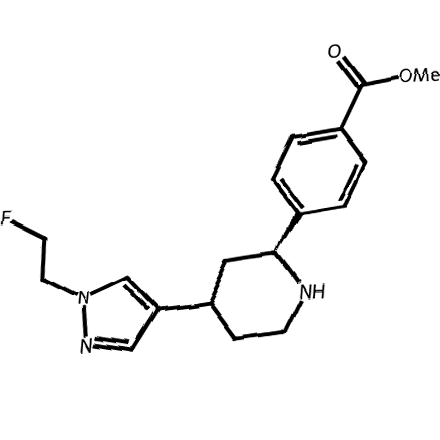 COC(=O)c1ccc([C@@H]2CC(c3cnn(CCF)c3)CCN2)cc1